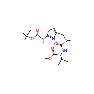 COC(=O)C(NC(=O)N(C)Cc1csc(NC(=O)OC(C)(C)C)n1)C(C)C